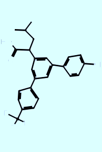 CC(C)CC(C(=O)O)c1cc(-c2ccc(Cl)cc2)cc(-c2ccc(C(F)(F)F)cc2)c1